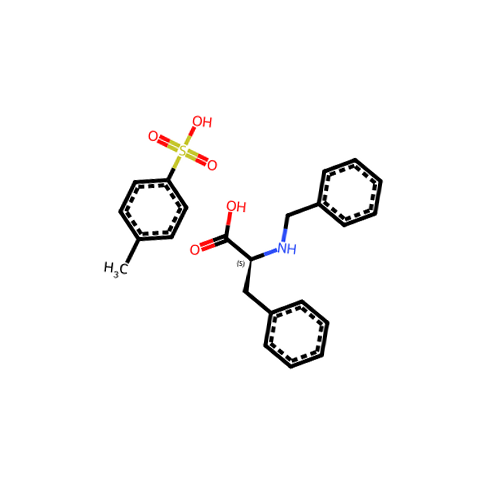 Cc1ccc(S(=O)(=O)O)cc1.O=C(O)[C@H](Cc1ccccc1)NCc1ccccc1